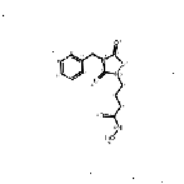 O=C(CCCn1sc(=O)n(Cc2ccccc2)c1=O)NO